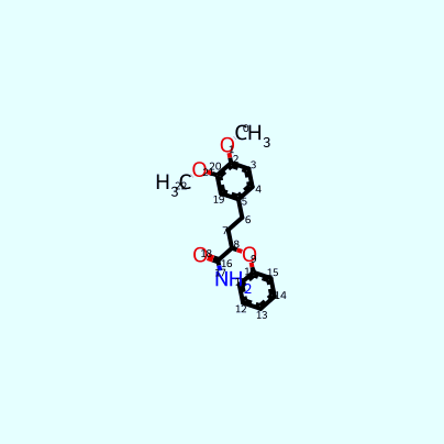 COc1ccc(CCC(Oc2ccccc2)C(N)=O)cc1OC